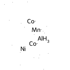 [AlH3].[Co].[Co].[Mn].[Ni]